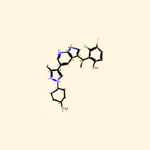 COc1ccc(F)c(Cl)c1[C@@H](C)c1c[nH]c2ncc(-c3cn(C4CCC(C(=O)O)CC4)nc3C)cc12